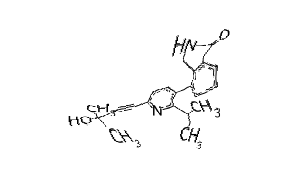 CC(C)c1nc(C#CC(C)(C)O)ccc1-c1cccc2c1CNC2=O